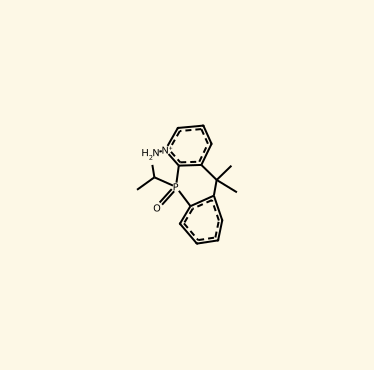 CC(C)P1(=O)c2ccccc2C(C)(C)c2ccc[n+](N)c21